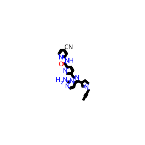 CC#CCN1CCC(c2nc(-c3ccc(C(=O)Nc4cc(C#N)ccn4)nc3)n3c(N)nccc23)C1